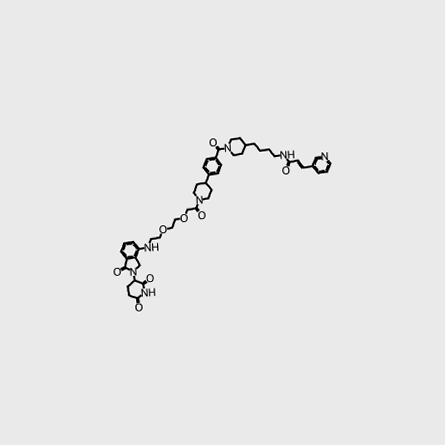 O=C(/C=C/c1cccnc1)NCCCCC1CCN(C(=O)c2ccc(C3CCN(C(=O)COCCOCCNc4cccc5c4CN(C4CCC(=O)NC4=O)C5=O)CC3)cc2)CC1